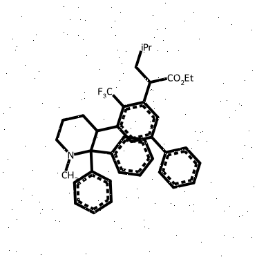 CCOC(=O)C(CC(C)C)c1cc(-c2ccccc2)cc(C2CCCN(C)C2(c2ccccc2)c2ccccc2)c1C(F)(F)F